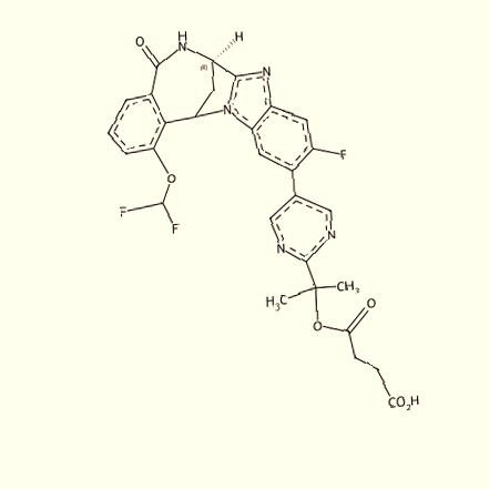 CC(C)(OC(=O)CCC(=O)O)c1ncc(-c2cc3c(cc2F)nc2n3C3C[C@H]2NC(=O)c2cccc(OC(F)F)c23)cn1